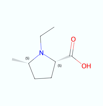 CCN1[C@@H](C)CC[C@H]1C(=O)O